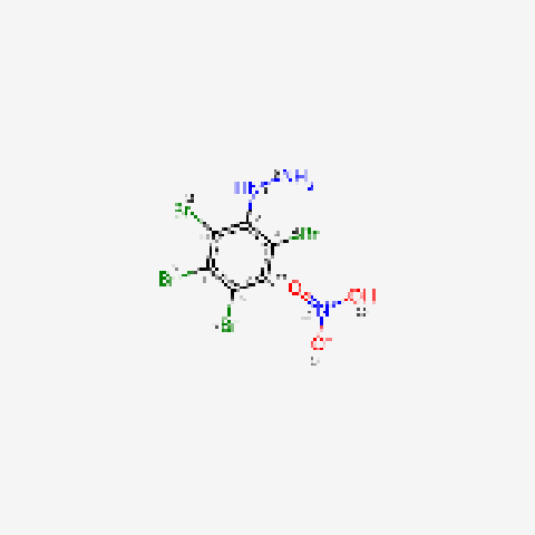 NNc1c(Br)cc(Br)c(Br)c1Br.O=[N+]([O-])O